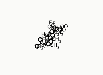 Cc1oc(=O)oc1COC(=O)[C@@]1(C)C2CC[C@]3(C)C(C(=O)C=C4[C@@H]5C[C@@](C)(C(=O)OC(c6ccccc6)c6ccccc6)CC[C@]5(C)CC[C@]43C)[C@@]2(C)CC[C@@H]1NC(=O)C(F)F